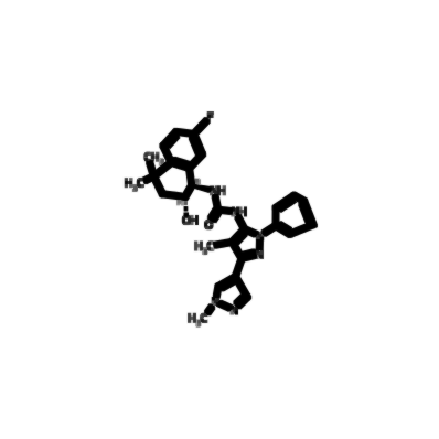 Cc1c(-c2cnn(C)c2)nn(-c2ccccc2)c1NC(=O)N[C@@H]1c2cc(F)ccc2C(C)(C)C[C@H]1O